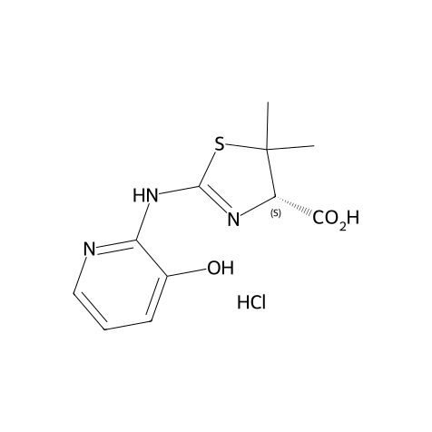 CC1(C)SC(Nc2ncccc2O)=N[C@H]1C(=O)O.Cl